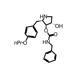 CCCOc1ccc(C[C@H]2NC[C@H](O)[C@H]2OC(=O)NCc2ccccc2)cc1